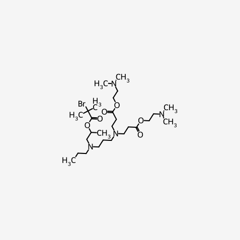 CCCN(CCCN(CCC(=O)OCCN(C)C)CCC(=O)OCCN(C)C)CC(C)OC(=O)C(C)(C)Br